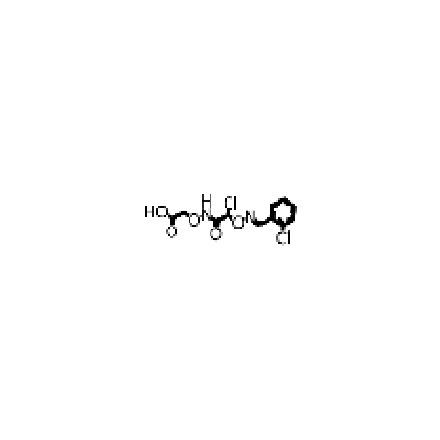 O=C(O)CONC(=O)C(Cl)ON=Cc1ccccc1Cl